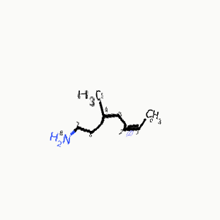 C/C=C\CC(C)CCN